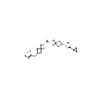 Cn1ncc(C(F)(F)F)c1CC1CC2(C1)CN(C(=O)N1CC3(CC(n4cnc(C5(O)CC5)n4)C3)C1)C2